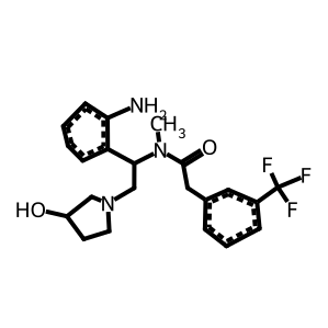 CN(C(=O)Cc1cccc(C(F)(F)F)c1)C(CN1CCC(O)C1)c1ccccc1N